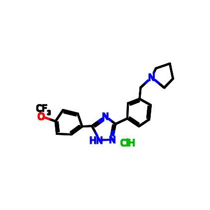 Cl.FC(F)(F)Oc1ccc(-c2nc(-c3cccc(CN4CCCC4)c3)n[nH]2)cc1